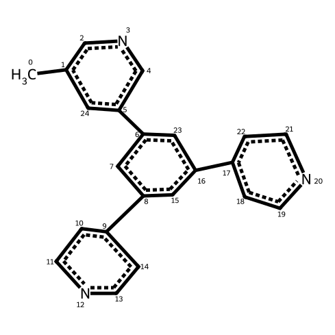 Cc1cncc(-c2cc(-c3ccncc3)cc(-c3ccncc3)c2)c1